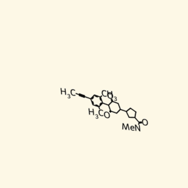 CC#Cc1cc(C)c(C2C(=O)CC(C3CCC(C(=O)NC)C3)CC2=O)c(C)c1